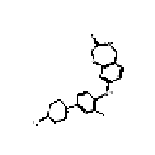 Cc1cc(N2CCC(C(F)(F)F)CC2)ccc1Nc1ccc2c(c1)OCC(=O)NC2